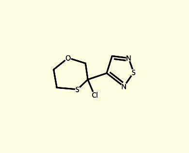 ClC1(c2cnsn2)COCCS1